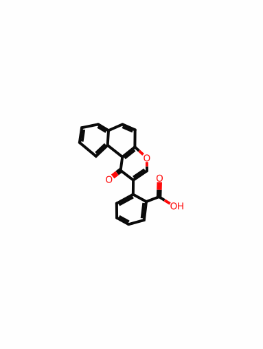 O=C(O)c1ccccc1-c1coc2ccc3ccccc3c2c1=O